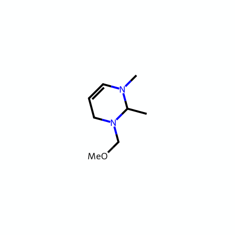 COCN1CC=CN(C)C1C